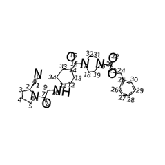 N#C[C@@H]1CCCN1C(=O)CN[C@H]1CC[C@H](C(=O)N2CCN(C(=O)OCc3ccccc3)CC2)CC1